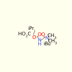 CC[C@H](C)[C@@H](NC(=O)O[C@@H](CC(C)C)C(=O)O)C(=O)N(C)C